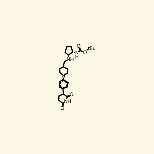 CC(C)(C)OC(=O)N[C@H]1CCC[C@H]1NCC1CCN(c2ccc(C3CCC(=O)NC3=O)cc2)CC1